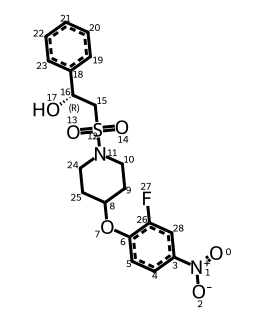 O=[N+]([O-])c1ccc(OC2CCN(S(=O)(=O)C[C@H](O)c3ccccc3)CC2)c(F)c1